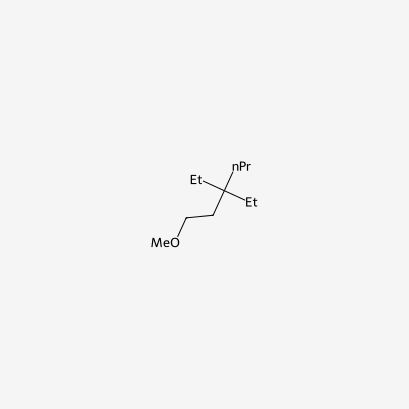 [CH2]OCCC(CC)(CC)CCC